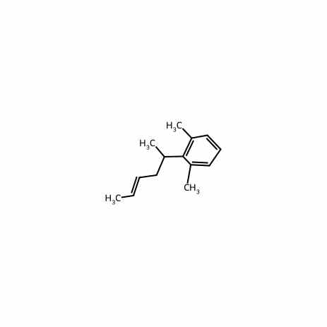 CC=CCC(C)c1c(C)cccc1C